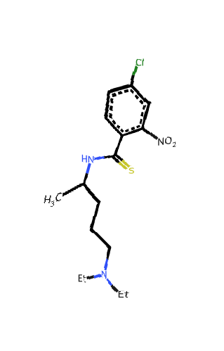 CCN(CC)CCCC(C)NC(=S)c1ccc(Cl)cc1[N+](=O)[O-]